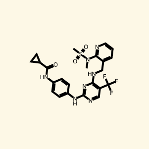 CN(c1ncccc1CNc1nc(Nc2ccc(NC(=O)C3CC3)cc2)ncc1C(F)(F)F)S(C)(=O)=O